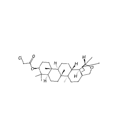 CC1(C)CC[C@]23CC[C@]4(C)[C@H](CC[C@@H]5[C@@]6(C)CC[C@H](OC(=O)CCl)C(C)(C)[C@@H]6CC[C@]54C)[C@H]2[C@H]1OC3